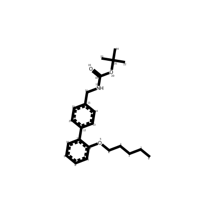 CCCCCOc1ccccc1-c1ccc(CNC(=O)OC(C)(C)C)cc1